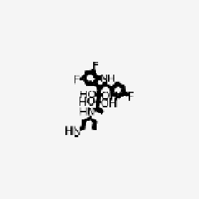 C=CC(CCNC)NC(=C)C(O)(O)C(O)(O)c1c(-c2ccc(F)cc2)[nH]c2c(F)cc(F)cc12